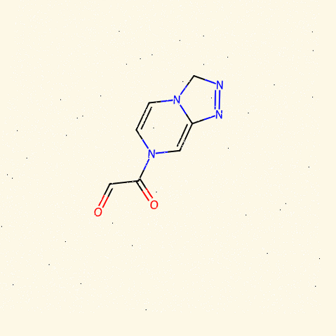 O=CC(=O)N1C=CN2CN=NC2=C1